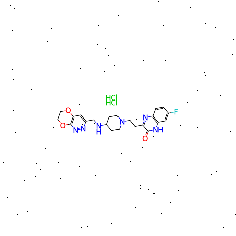 Cl.Cl.O=c1[nH]c2cc(F)ccc2nc1CCN1CCC(NCc2cc3c(nn2)OCCO3)CC1